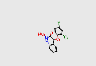 O=C(NO)C(Oc1ccc(F)cc1Cl)c1ccccc1